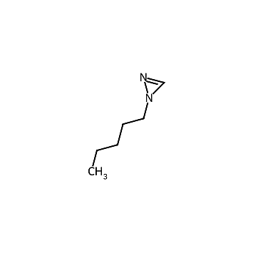 CCCCCN1C=N1